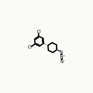 [N-]=[N+]=N[C@H]1CC[C@H](c2cc(Cl)cc(Cl)c2)CC1